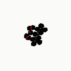 c1ccc(-c2cc(-c3ccccc3)cc(N3c4cc(-c5cc(-c6ccccc6)nc(-c6ccccc6)c5)cc5c4B(c4ccc6c(ccc7ccccc76)c43)c3ccc4c(ccc6ccccc64)c3N5c3cc(-c4ccccc4)cc(-c4ccccc4)c3)c2)cc1